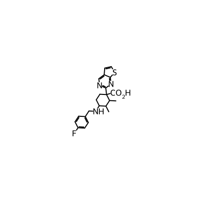 CC1C(NCc2ccc(F)cc2)CCC(C(=O)O)(c2ncc3ccsc3n2)C1C